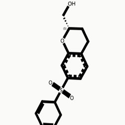 O=S(=O)(c1ccc2c(c1)O[C@H](CO)CC2)C1C=CC=CC1